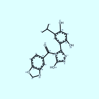 CC(C)c1cc(-c2nnc(O)n2C(=O)c2ccc3c(c2)OCO3)c(O)cc1O